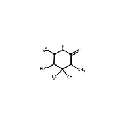 CC1NC(=O)C(C)C(C)(C)C1C